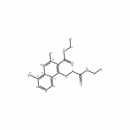 CCOC(=O)CCc1c(C(=O)OCC)c(C)nc2c(Cl)cccc12